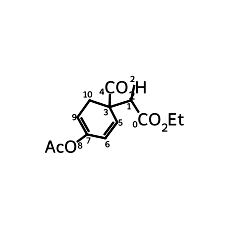 CCOC(=O)C(C)C1(C(=O)O)C=CC(OC(C)=O)=CC1